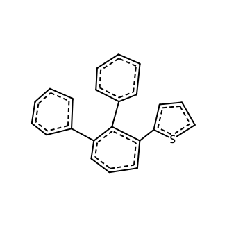 c1ccc(-c2cccc(-c3cccs3)c2-c2ccccc2)cc1